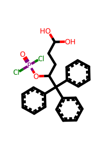 O=P(Cl)(Cl)OC(CCC(O)O)C(c1ccccc1)(c1ccccc1)c1ccccc1